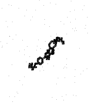 Cc1ccc(-c2cn3c4c(sc3n2)CN(C)CC4)cc1